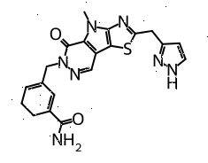 Cn1c2nc(Cc3cc[nH]n3)sc2c2cnn(CC3=CCCC(C(N)=O)=C3)c(=O)c21